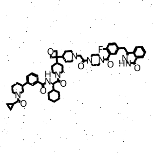 O=C(N[C@@H](C(=O)N1CCC(C2(C3CCN(CC(=O)N4CCN(C(=O)c5cc(Cc6n[nH]c(=O)c7ccccc67)ccc5F)CC4)CC3)COC2)CC1)C1CCCCC1)c1cccc(C2CCCN(C(=O)C3CC3)C2)c1